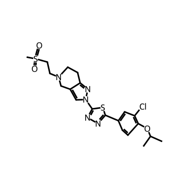 CC(C)Oc1ccc(-c2nnc(-n3cc4c(n3)CCN(CCS(C)(=O)=O)C4)s2)cc1Cl